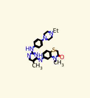 CCN1CCN(c2ccc(Nc3ncc(C)c(Nc4ccc5c(c4)N(C)C(=O)CS5)n3)cc2)CC1